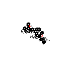 CC1(C)c2ccccc2-c2ccc(-c3cc4c(c5c3oc3ccccc35)-c3ccc(CC(c5ccc6c(c5)C(C)(C)c5c7c(c8c(oc9ccccc98)c5-6)-c5ccccc5C7(C)C)c5ccc6ccccc6c5)cc3C4(C)C)cc21